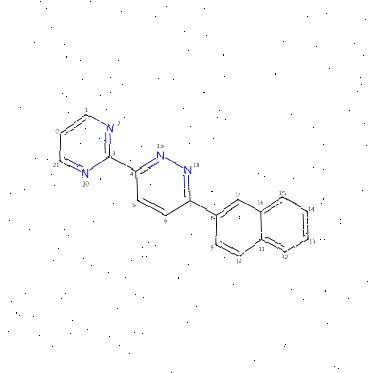 c1cnc(-c2ccc(-c3ccc4ccccc4c3)nn2)nc1